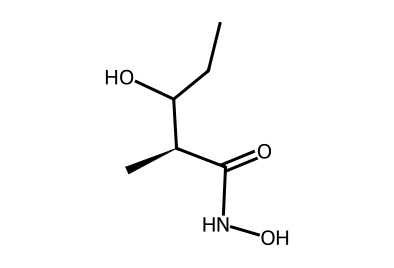 CCC(O)[C@H](C)C(=O)NO